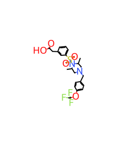 CC1CN(Cc2ccc(OC(F)(F)F)cc2)CC(C)N1S(=O)(=O)c1cccc(CC(=O)O)c1